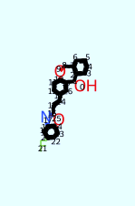 OC1c2ccccc2COc2ccc(/C=C/c3nc4cc(F)ccc4o3)cc21